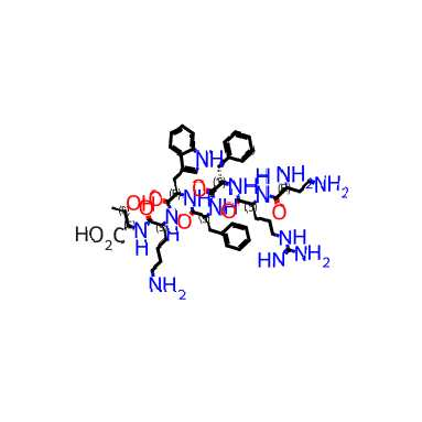 C[C@@H](O)[C@H](NC(=O)[C@H](CCCCN)NC(=O)[C@@H](Cc1c[nH]c2ccccc12)NC(=O)[C@H](Cc1ccccc1)NC(=O)[C@H](Cc1ccccc1)NC(=O)[C@H](CCCNC(=N)N)NC(=O)[C@H](N)CCN)C(=O)O